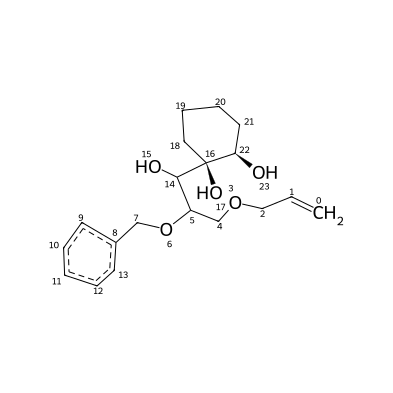 C=CCOCC(OCc1ccccc1)C(O)[C@]1(O)CCCC[C@H]1O